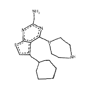 Nc1nc(N2CCNCC2)c2c(C3CCCCC3)csc2n1